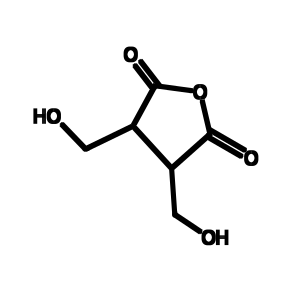 O=C1OC(=O)C(CO)C1CO